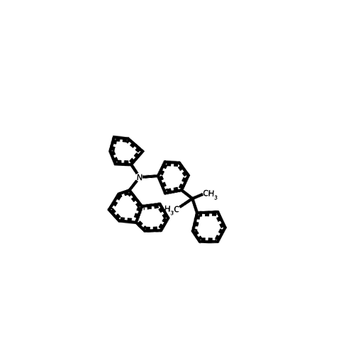 CC(C)(c1ccccc1)c1cccc(N(c2ccccc2)c2cccc3ccccc23)c1